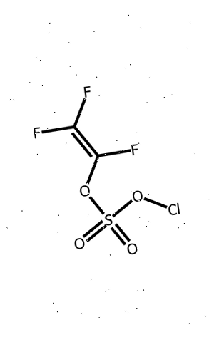 O=S(=O)(OCl)OC(F)=C(F)F